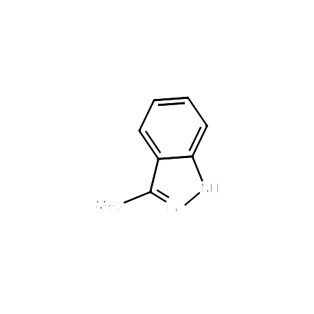 CSc1[13cH][nH]c2ccccc12